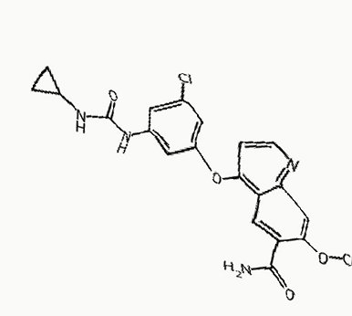 COc1cc2nccc(Oc3cc(Cl)cc(NC(=O)NC4CC4)c3)c2cc1C(N)=O